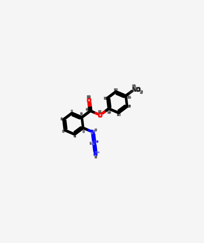 [N-]=[N+]=Nc1ccccc1C(=O)Oc1ccc([N+](=O)[O-])cc1